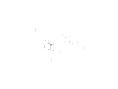 CC(C)NC(=S)NCC(C)OC(C)(C)Cn1cc(C(C)C)nn1